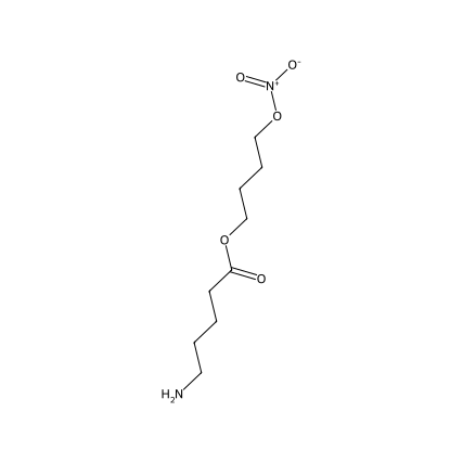 NCCCCC(=O)OCCCCO[N+](=O)[O-]